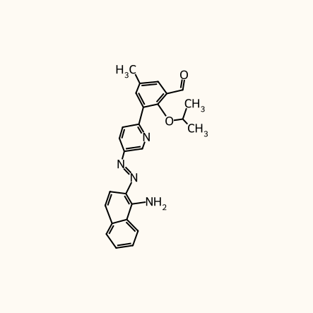 Cc1cc(C=O)c(OC(C)C)c(-c2ccc(N=Nc3ccc4ccccc4c3N)cn2)c1